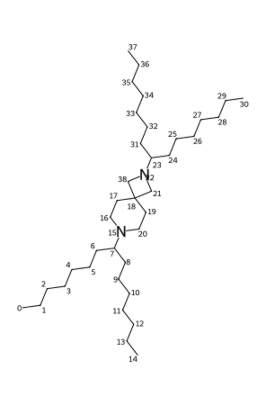 CCCCCCCC(CCCCCCC)N1CCC2(CC1)CN(C(CCCCCCC)CCCCCCC)C2